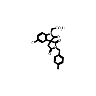 Cc1ccc(CN2C(=O)CC3(C2=O)C(=O)N(CC(=O)O)c2ccc(Cl)cc23)cc1